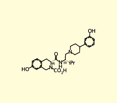 CC(C)[C@@H](CN1CCC(c2cccc(O)c2)CC1)NC(=O)[C@H]1Cc2ccc(O)cc2CN1C(=O)O